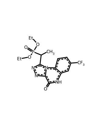 CCOP(=O)(OCC)C(C)c1nnc2c(=O)[nH]c3cc(C(F)(F)F)ccc3n12